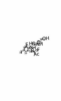 CC(=O)c1c(F)c(C(=O)NOCCO)c(Nc2ccc(I)cc2F)n1C